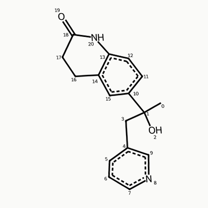 CC(O)(Cc1cccnc1)c1ccc2c(c1)CCC(=O)N2